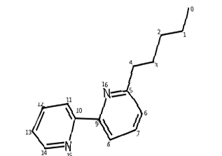 CCCCCc1cccc(-c2ccccn2)n1